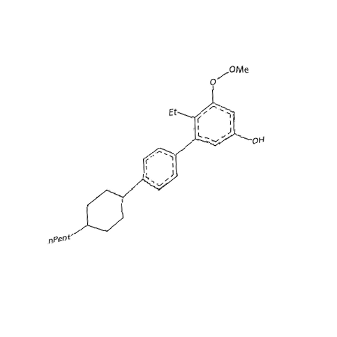 CCCCCC1CCC(c2ccc(-c3cc(O)cc(OOC)c3CC)cc2)CC1